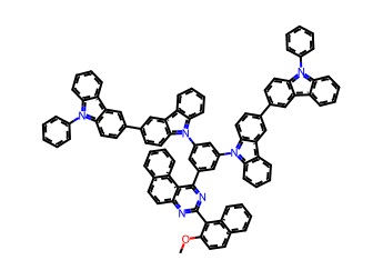 COc1ccc2ccccc2c1-c1nc(-c2cc(-n3c4ccccc4c4cc(-c5ccc6c(c5)c5ccccc5n6-c5ccccc5)ccc43)cc(-n3c4ccccc4c4cc(-c5ccc6c(c5)c5ccccc5n6-c5ccccc5)ccc43)c2)c2c(ccc3ccccc32)n1